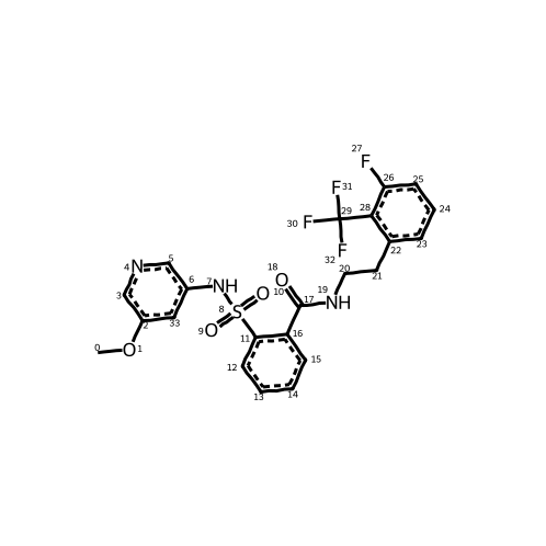 COc1cncc(NS(=O)(=O)c2ccccc2C(=O)NCCc2cccc(F)c2C(F)(F)F)c1